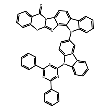 O=c1c2ccccc2sc2nc3c4c(ccc3n12)c1ccccc1n4-c1ccc2c(c1)c1ccccc1n2-c1nc(-c2ccccc2)nc(-c2ccccc2)n1